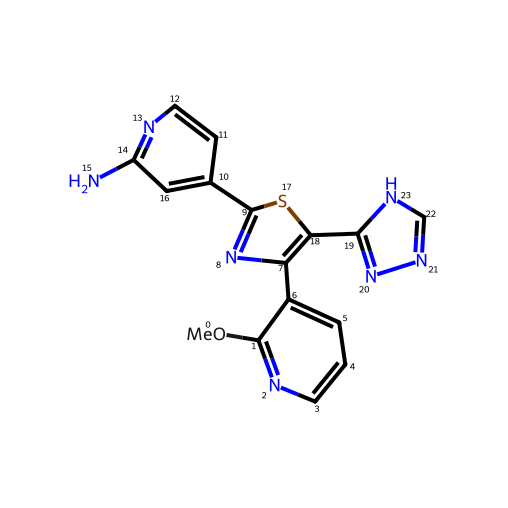 COc1ncccc1-c1nc(-c2ccnc(N)c2)sc1-c1nnc[nH]1